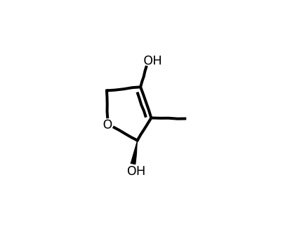 CC1=C(O)CO[C@@H]1O